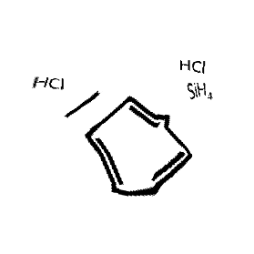 CC.Cl.Cl.[SiH4].c1ccccc1